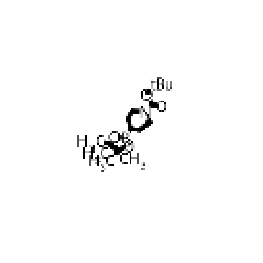 CC(C)(C)OC(=O)N1CCC(B2OC(C)(C)C(C)(C)O2)CC1